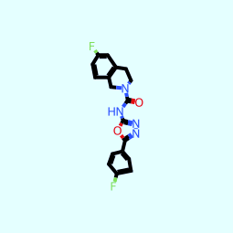 O=C(Nc1nnc(-c2ccc(F)cc2)o1)N1CCc2cc(F)ccc2C1